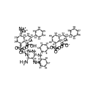 Nc1nnnc(N(c2ccccc2)c2ccccc2)c1N.O=S(=O)(O)c1cccc(C=Cc2ccccc2)c1S(=O)(=O)O.O=S(=O)([O-])c1cccc(C=Cc2ccccc2)c1S(=O)(=O)[O-].[Na+].[Na+]